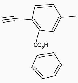 C#Cc1ccc(C)cc1C(=O)O.c1ccccc1